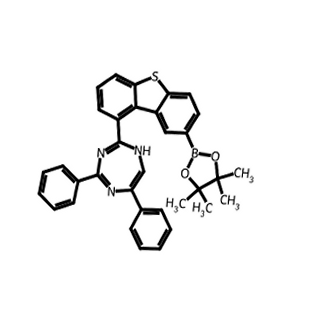 CC1(C)OB(c2ccc3sc4cccc(C5=NC(c6ccccc6)=NC(c6ccccc6)=CN5)c4c3c2)OC1(C)C